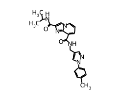 Cc1ccc(-n2cc(CNC(=O)c3cccn4cc(C(=O)NC(C)C)nc34)cn2)cc1